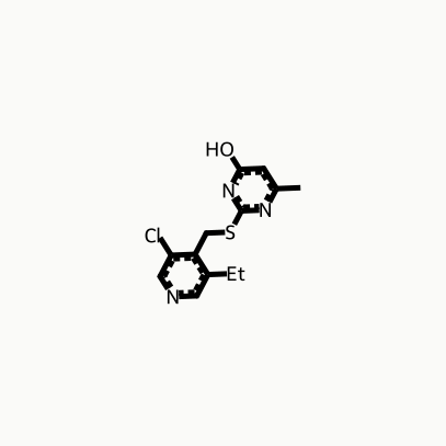 CCc1cncc(Cl)c1CSc1nc(C)cc(O)n1